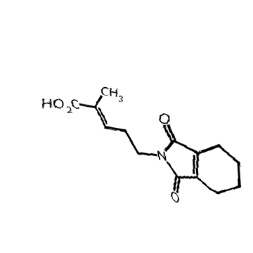 CC(=CCCN1C(=O)C2=C(CCCC2)C1=O)C(=O)O